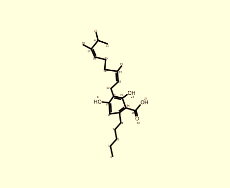 CCCCCc1cc(O)c(CC=C(C)CCC=C(C)C(C)C)c(O)c1C(=O)O